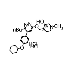 CCCCc1nnc(OC[C@@H]2CCN(C)C[C@@H]2O)cc1-c1ccc(OC2CCCCC2)cc1.Cl.Cl